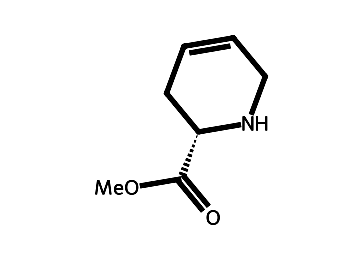 COC(=O)[C@@H]1CC=CCN1